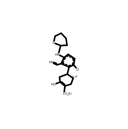 CCOC(=O)C1=C(O)CC(c2c(Cl)ccc(NC3CCCCO3)c2C=N)[C@H](C)C1